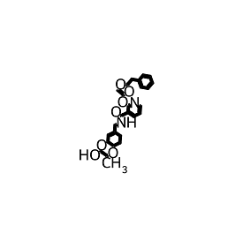 CC(OC1CC=C(CNC(=O)c2cccnc2OC2=COC(Cc3ccccc3)O2)CC1)C(=O)O